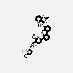 COc1nc(-c2cccc(-c3cccc(Nc4nc(C)nc5cccnc45)c3C)c2F)ccc1CNC[C@@H]1CCC(=O)N1